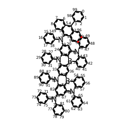 c1ccc(-c2c3ccccc3c(N(c3ccccc3)c3cc4c5c(c3)N(c3ccccc3)c3cc6c(cc3B5c3ccccc3N4c3ccccc3)B3c4ccccc4N(c4ccccc4)c4cc(N(c5ccccc5)c5ccccc5)cc(c43)N6c3ccccc3)c3ccccc23)cc1